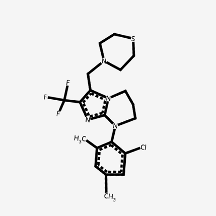 Cc1cc(C)c(N2CCCn3c2nc(C(F)(F)F)c3CN2CCSCC2)c(Cl)c1